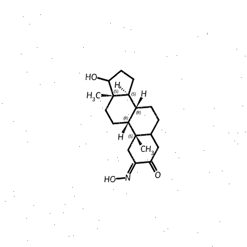 C[C@]12CC(=NO)C(=O)CC1CC[C@@H]1[C@H]2CC[C@]2(C)C(O)CC[C@@H]12